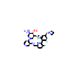 CC1CN(c2ccncc2NCc2ccc(F)c(-c3c(F)cc(CN4CCC4)cc3F)n2)CC(N)C1O